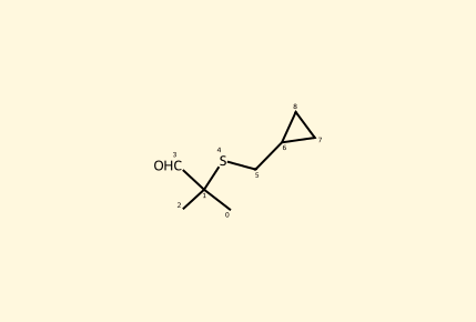 CC(C)(C=O)SCC1CC1